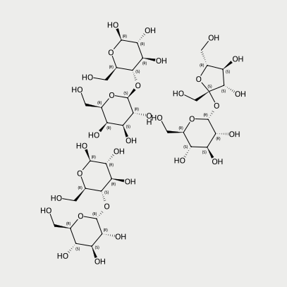 OC[C@H]1O[C@@H](O[C@H]2[C@H](O)[C@@H](O)[C@H](O)O[C@@H]2CO)[C@H](O)[C@@H](O)[C@H]1O.OC[C@H]1O[C@@](CO)(O[C@H]2O[C@H](CO)[C@@H](O)[C@H](O)[C@H]2O)[C@@H](O)[C@@H]1O.OC[C@H]1O[C@H](O[C@H]2[C@H](O)[C@@H](O)[C@H](O)O[C@@H]2CO)[C@H](O)[C@@H](O)[C@@H]1O